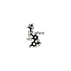 CCCCCc1cc2c(c(O)c1C(=O)NCc1cnco1)C1C=C(C)CCC1C(C)(C)O2